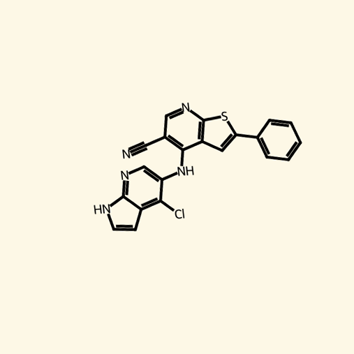 N#Cc1cnc2sc(-c3ccccc3)cc2c1Nc1cnc2[nH]ccc2c1Cl